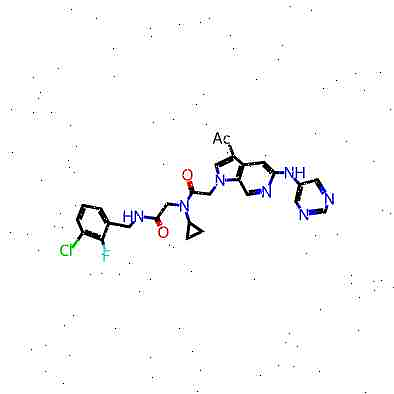 CC(=O)c1cn(CC(=O)N(CC(=O)NCc2cccc(Cl)c2F)C2CC2)c2cnc(Nc3cncnc3)cc12